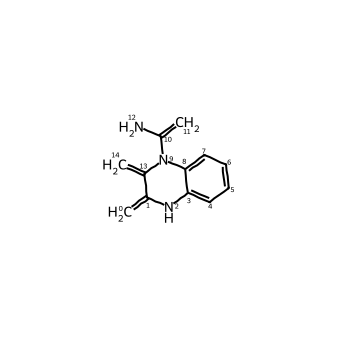 C=C1Nc2ccccc2N(C(=C)N)C1=C